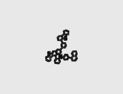 c1cc(-c2cccc(N(c3ccc(-c4cccc5ccccc45)cc3)c3ccccc3-c3cccc4sc5ccccc5c34)c2)cc(-c2cccc3c2sc2ccccc23)c1